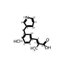 C/C(=C\c1cccc(Cc2cccnc2)c1)C(=O)O.Cl